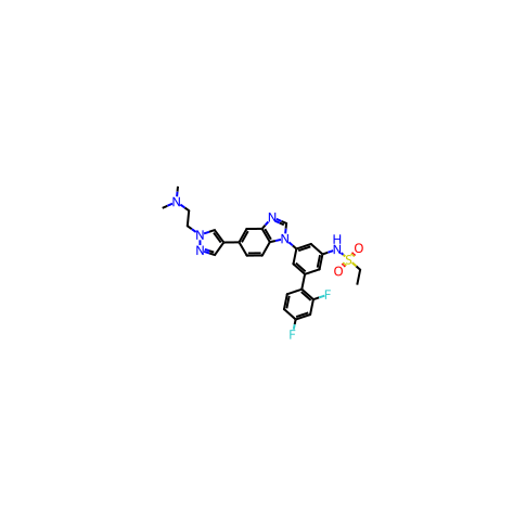 CCS(=O)(=O)Nc1cc(-c2ccc(F)cc2F)cc(-n2cnc3cc(-c4cnn(CCN(C)C)c4)ccc32)c1